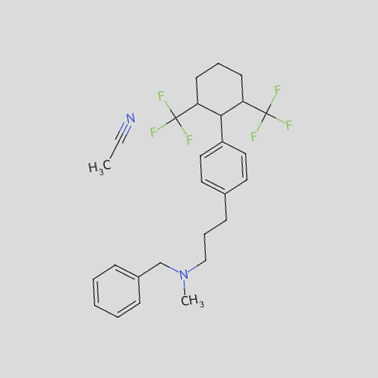 CC#N.CN(CCCc1ccc(C2C(C(F)(F)F)CCCC2C(F)(F)F)cc1)Cc1ccccc1